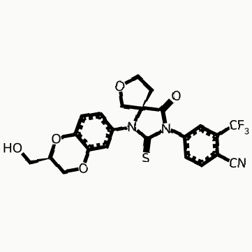 N#Cc1ccc(N2C(=O)[C@]3(CCOC3)N(c3ccc4c(c3)OC[C@@H](CO)O4)C2=S)cc1C(F)(F)F